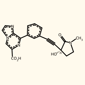 CN1CC[C@@](O)(C#Cc2cccc(-c3nc(C(=O)O)cn4ccnc34)c2)C1=O